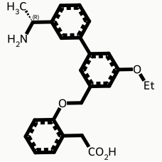 CCOc1cc(COc2ccccc2CC(=O)O)cc(-c2cccc([C@@H](C)N)c2)c1